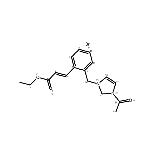 Br.CCOC(=O)C=Cc1ccccc1CN1C=CN(C(C)=O)C1